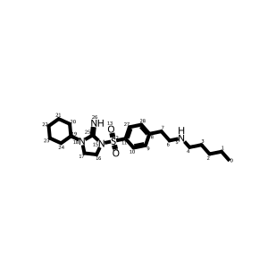 CCCCCNCCc1ccc(S(=O)(=O)N2CCN(C3CCCCC3)C2=N)cc1